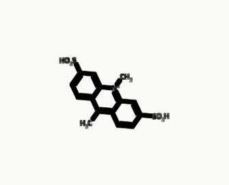 Cc1c2ccc(S(=O)(=O)O)cc2[n+](C)c2cc(S(=O)(=O)O)ccc12